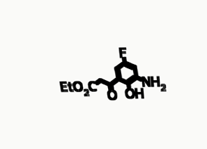 CCOC(=O)CC(=O)c1cc(F)cc(N)c1O